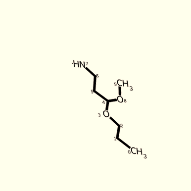 CCCOC(CC[NH])OC